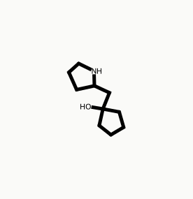 OC1(CC2CCCN2)CCCC1